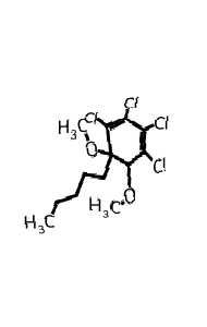 CCCCCC1(OC)C(Cl)=C(Cl)C(Cl)=C(Cl)C1OC